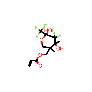 C=CC(=O)OCC1(C)COC(O)(C(F)(F)F)C(F)(F)C1(C)O